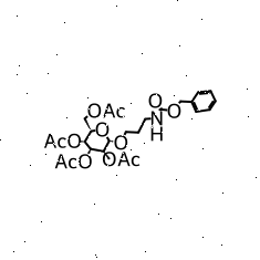 CC(=O)OC[C@H]1O[C@H](OCCCNC(=O)OCc2ccccc2)[C@@H](OC(C)=O)[C@@H](OC(C)=O)[C@@H]1OC(C)=O